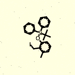 Cc1cccc(O[Si](c2ccccc2)(c2ccccc2)C(C)(C)C)c1CI